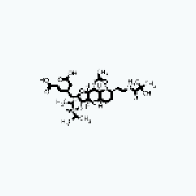 CC(=O)O[C@H]1[C@@H]2O[C@H](CC(CCC(=O)O)CC(=O)O)[C@H](O[Si](F)(C(C)C)C(C)C)[C@@H]2O[C@H]2CC[C@H](CCOC(=O)C(C)(C)C)O[C@H]12